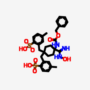 Cc1ccc(S(=O)(=O)O)c(CC2(Cc3cc(C)ccc3S(=O)(=O)O)CCC(NC(=O)OCc3ccccc3)(C(=N)NO)CC2)c1